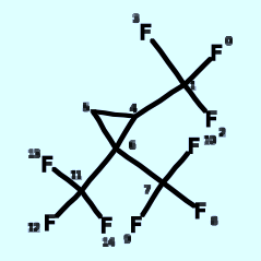 FC(F)(F)C1CC1(C(F)(F)F)C(F)(F)F